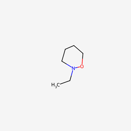 CCN1CCCCO1